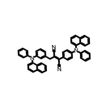 N#C/C(Cc1cccc(N(c2ccccc2)c2cccc3ccccc23)c1)=C(/C#N)c1ccc(N(c2ccccc2)c2cccc3ccccc23)cc1